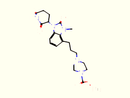 Cn1c(=O)n(C2CCC(=O)NC2=O)c2cccc(CCCN3CCN(C(=O)OC(C)(C)C)CC3)c21